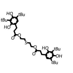 CC(C)(C)c1cc(CCC(=O)OCCSCCOC(=O)CCc2cc(C(C)(C)C)c(O)c(C(C)(C)C)c2O)c(O)c(C(C)(C)C)c1O